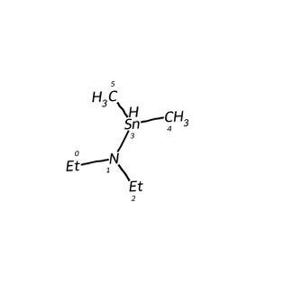 CC[N](CC)[SnH]([CH3])[CH3]